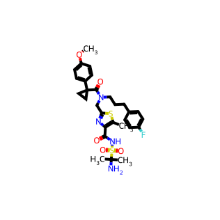 COc1ccc(C2(C(=O)N(CCCc3ccc(F)cc3)Cc3nc(C(=O)NS(=O)(=O)C(C)(C)N)c(C)s3)CC2)cc1